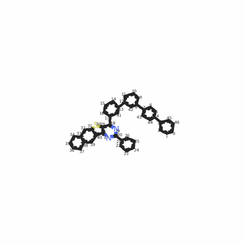 c1ccc(-c2ccc(-c3cccc(-c4cccc(-c5nc(-c6ccccc6)nc6c5sc5cc7ccccc7cc56)c4)c3)cc2)cc1